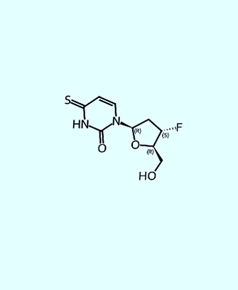 O=c1[nH]c(=S)ccn1[C@H]1C[C@H](F)[C@@H](CO)O1